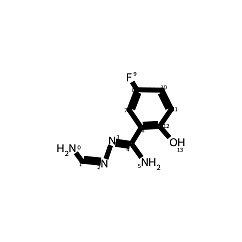 N/C=N\N=C(/N)c1cc(F)ccc1O